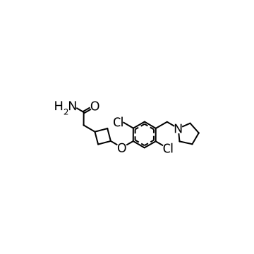 NC(=O)CC1CC(Oc2cc(Cl)c(CN3CCCC3)cc2Cl)C1